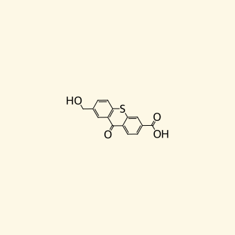 O=C(O)c1ccc2c(=O)c3cc(CO)ccc3sc2c1